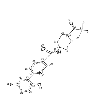 CC(C)(C)C(=O)N1CCC(NC(=O)c2cnc(-c3cc(F)ccc3Cl)nc2)CC1